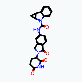 O=C1CCC(N2Cc3cc(NC(=O)N4c5ccccc5C5CC54)ccc3C2=O)C(=O)N1